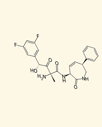 C[C@](N)(C(=O)N[C@H]1C=C[C@@H](c2ccccc2)CNC1=O)C(=O)[C@H](O)c1cc(F)cc(F)c1